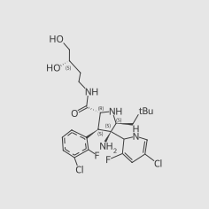 CC(C)(C)C[C@@H]1N[C@@H](C(=O)NCC[C@H](O)CO)[C@H](c2cccc(Cl)c2F)[C@@]1(N)C1NC=C(Cl)C=C1F